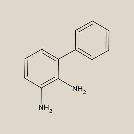 Nc1cccc(-c2ccccc2)c1N